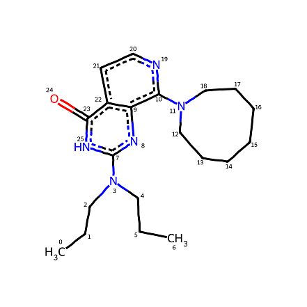 CCCN(CCC)c1nc2c(N3CCCCCCC3)nccc2c(=O)[nH]1